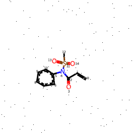 C=CC(=O)N(c1ccccc1)S(C)(=O)=O